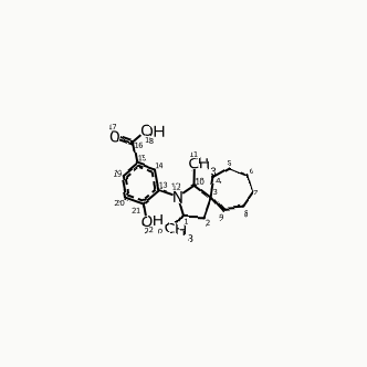 CC1CC2(CCCCCC2)C(C)N1c1cc(C(=O)O)ccc1O